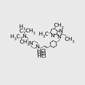 CCc1nc2c(C)cc(C)nc2n1Cc1ccc(C=CCN2CCN(CCN(C(C)C)C(C)C)CC2)cc1.Cl.Cl.Cl